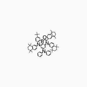 CC(C)(C)c1ccc2c(c1)B1c3oc4cc5c(cc4c3N(c3ccc4c(c3)C(C)(C)CCC4(C)C)c3cc(N(c4ccccc4)c4ccccc4)cc(c31)N2c1ccc2c(c1)C(C)(C)CCC2(C)C)C1(C)CCC5(C)CC1